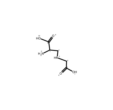 NC(CNCC(=O)O)C(=O)O